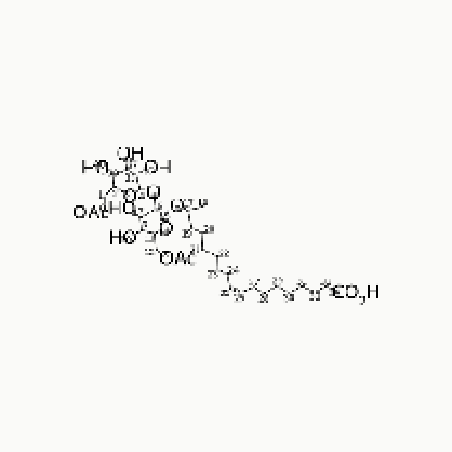 CC(=O)OCC1O[C@@H](OC2C(O)[C@H](O)C(COC(C)=O)O[C@H]2OC(C)CCCCCC/C=C\CCCCCCCC(=O)O)C(O)C(O)[C@@H]1O